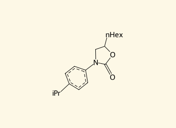 CCCCCCC1CN(c2ccc(C(C)C)cc2)C(=O)O1